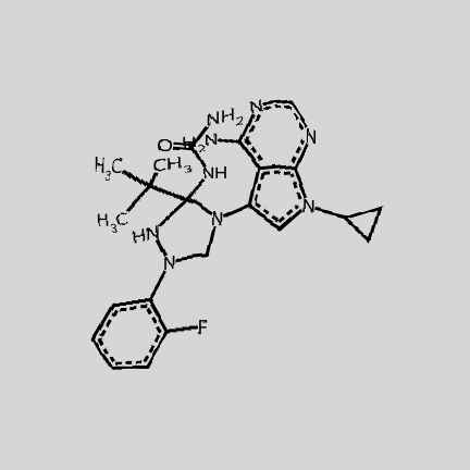 CC(C)(C)C1(NC(N)=O)NN(c2ccccc2F)CN1c1cn(C2CC2)c2ncnc(N)c12